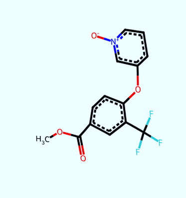 COC(=O)c1ccc(Oc2ccc[n+]([O-])c2)c(C(F)(F)F)c1